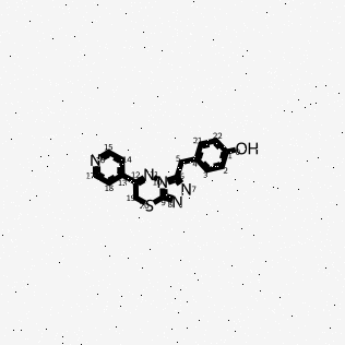 Oc1ccc(Cc2nnc3n2N=C(c2ccncc2)CS3)cc1